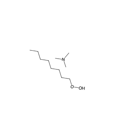 CCCCCCCCOO.CN(C)C